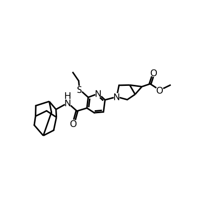 CCSc1nc(N2CC3C(C2)C3C(=O)OC)ccc1C(=O)NC1C2CC3CC(C2)CC1C3